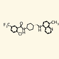 Cc1ccc(NC[C@H]2CC[C@H](NC(=O)c3cc(C(F)(F)F)ccc3Cl)CC2)c2cccnc12